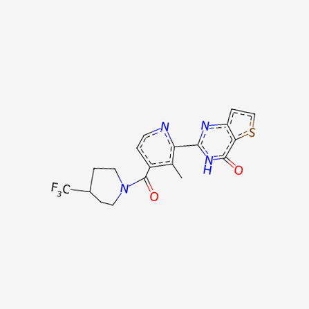 Cc1c(C(=O)N2CCC(C(F)(F)F)CC2)ccnc1-c1nc2ccsc2c(=O)[nH]1